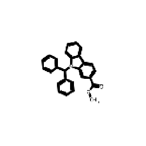 COC(=O)c1ccc2c3ccccc3n(C(c3ccccc3)c3ccccc3)c2c1